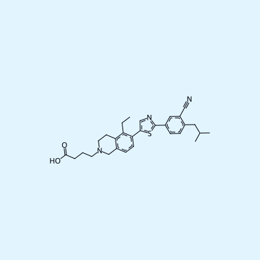 CCc1c(-c2cnc(-c3ccc(CC(C)C)c(C#N)c3)s2)ccc2c1CCN(CCCC(=O)O)C2